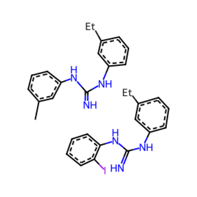 CCc1cccc(NC(=N)Nc2cccc(C)c2)c1.CCc1cccc(NC(=N)Nc2ccccc2I)c1